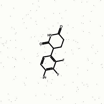 CC(C)c1ccc(C2CCC(=O)NC2=O)c(F)c1F